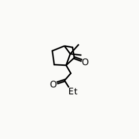 CCC(=O)CC12CCC(CC1=O)C2(C)C